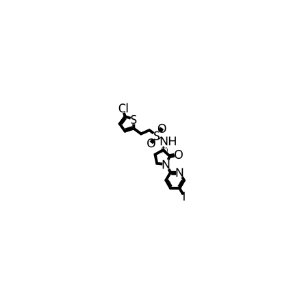 O=C1[C@@H](NS(=O)(=O)CCc2ccc(Cl)s2)CCN1c1ccc(I)cn1